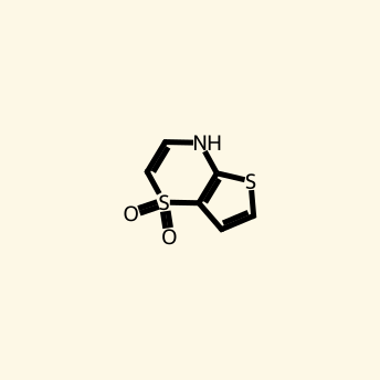 O=S1(=O)C=CNc2sccc21